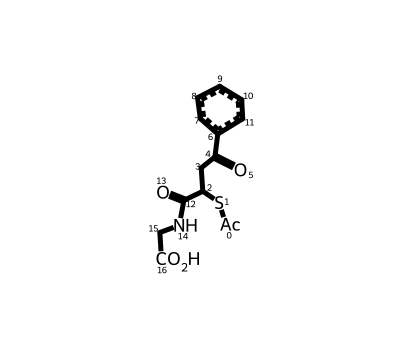 CC(=O)SC(CC(=O)c1ccccc1)C(=O)NCC(=O)O